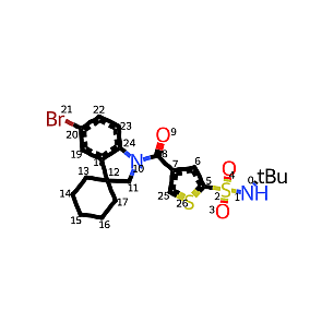 CC(C)(C)NS(=O)(=O)c1cc(C(=O)N2CC3(CCCCC3)c3cc(Br)ccc32)cs1